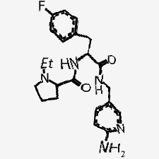 CCN1CCCC1C(=O)N[C@@H](Cc1ccc(F)cc1)C(=O)NCc1ccc(N)nc1